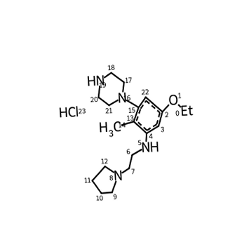 CCOc1cc(NCCN2CCCC2)c(C)c(N2CCNCC2)c1.Cl